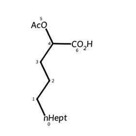 CCCCCCCCCCC(OC(C)=O)C(=O)O